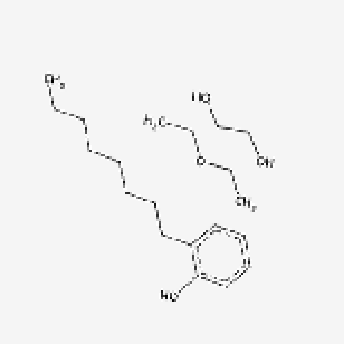 CCCCCCCCc1ccccc1O.CCOCC.OCCO